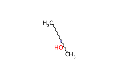 CCCCCCCCC/C=C/CC(O)CCCC